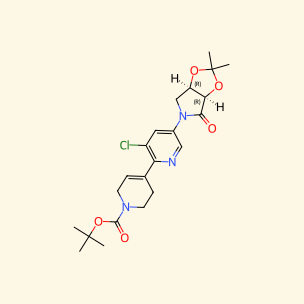 CC(C)(C)OC(=O)N1CC=C(c2ncc(N3C[C@H]4OC(C)(C)O[C@H]4C3=O)cc2Cl)CC1